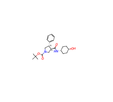 CC(C)(C)OC(=O)N1C[C@H](C(=O)N[C@H]2CC[C@H](O)CC2)[C@@H](c2ccccc2)C1